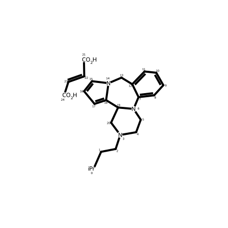 CC(C)CCN1CCN2c3ccccc3Cn3cccc3C2C1.O=C(O)C=CC(=O)O